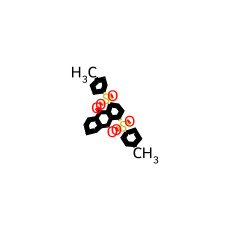 Cc1ccc(S(=O)(=O)c2ccc(S(=O)(=O)c3ccc(C)cc3)c3c2C(=O)c2ccccc2C3=O)cc1